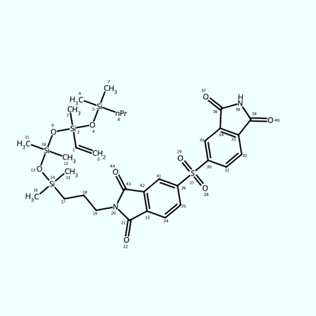 C=C[Si](C)(O[Si](C)(C)CCC)O[Si](C)(C)O[Si](C)(C)CCCN1C(=O)c2ccc(S(=O)(=O)c3ccc4c(c3)C(=O)NC4=O)cc2C1=O